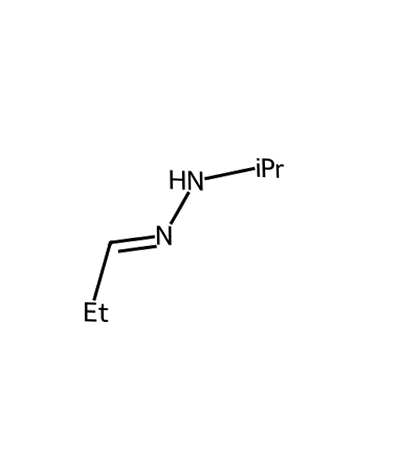 [CH2]CC=NNC(C)C